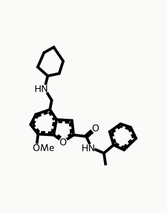 COc1ccc(CNC2CCCCC2)c2cc(C(=O)NC(C)c3ccccc3)oc12